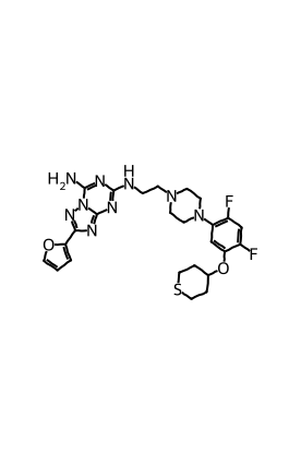 Nc1nc(NCCN2CCN(c3cc(OC4CCSCC4)c(F)cc3F)CC2)nc2nc(-c3ccco3)nn12